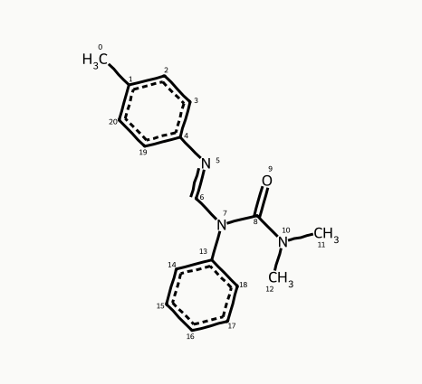 Cc1ccc(N=CN(C(=O)N(C)C)c2ccccc2)cc1